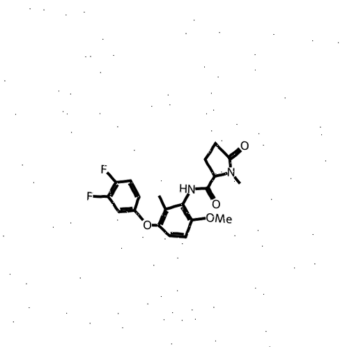 COc1ccc(Oc2ccc(F)c(F)c2)c(C)c1NC(=O)C1CCC(=O)N1C